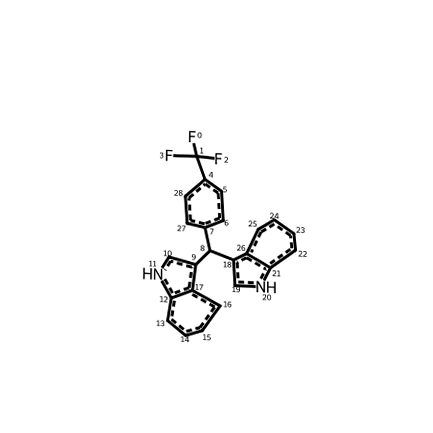 FC(F)(F)c1ccc(C(c2c[nH]c3ccccc23)c2c[nH]c3ccccc23)cc1